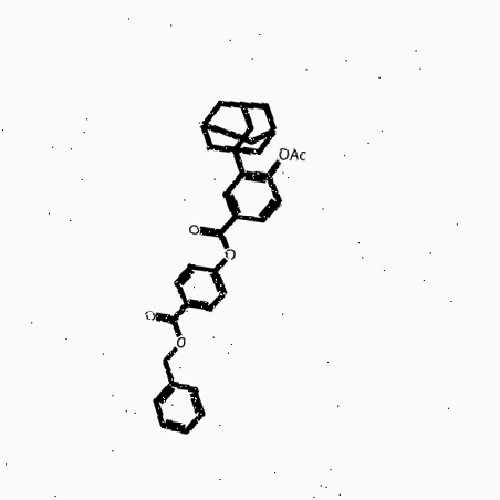 CC(=O)Oc1ccc(C(=O)Oc2ccc(C(=O)OCc3ccccc3)cc2)cc1C12CC3CC(CC(C3)C1)C2